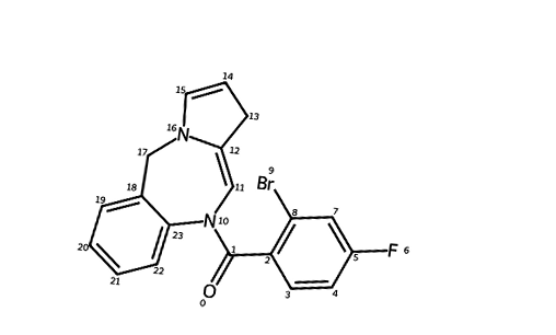 O=C(c1ccc(F)cc1Br)N1C=C2CC=CN2Cc2ccccc21